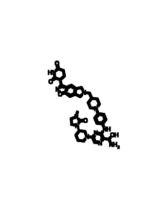 CN1CCN([C@@H]2CCCN(c3cnc(C(N)O)c(Nc4ccc(N5CCC(CN6Cc7cc8onc(C9CCC(=O)NC9=O)c8cc7C6)CC5)cc4)n3)C2)C1=O